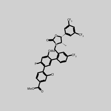 COC(=O)c1ccc(-c2cc(-c3ccc(C(F)(F)F)cc3CN3C(=O)O[C@H](c4cc(C(F)(F)F)cc(C(F)(F)F)c4)[C@@H]3C)c(OC)cc2F)c(Cl)c1